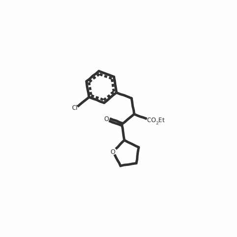 CCOC(=O)C(Cc1cccc(Cl)c1)C(=O)C1CCCO1